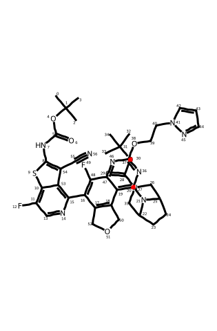 CC(C)(C)OC(=O)Nc1sc2c(F)cnc(-c3c4c(c5c(N6C7CCC6CN(C(=O)OC(C)(C)C)C7)nc(OCCn6cccn6)nc5c3F)COC4)c2c1C#N